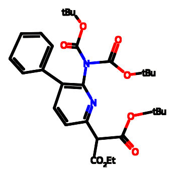 CCOC(=O)C(C(=O)OC(C)(C)C)c1ccc(-c2ccccc2)c(N(C(=O)OC(C)(C)C)C(=O)OC(C)(C)C)n1